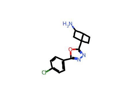 NC1CC2(c3nnc(-c4ccc(Cl)cc4)o3)CCC12